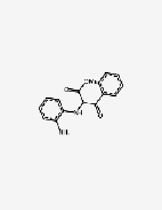 COC(=O)C(Nc1ccccc1N)C(=O)c1ccccc1